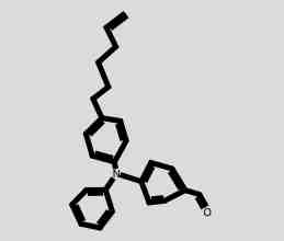 C=CCCCCc1ccc(N(c2ccccc2)c2ccc(C=O)cc2)cc1